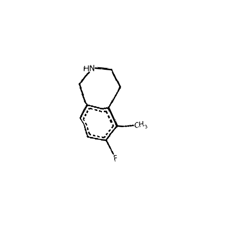 Cc1c(F)ccc2c1CCNC2